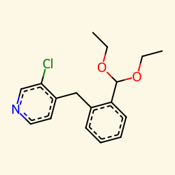 CCOC(OCC)c1ccccc1Cc1ccncc1Cl